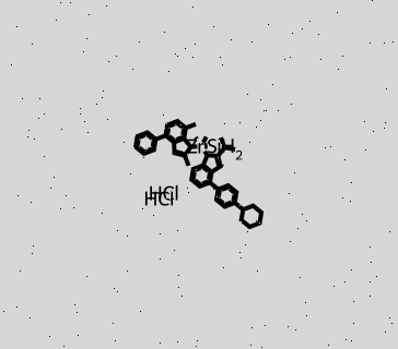 CC1=Cc2c(-c3ccccc3)ccc(C)c2[CH]1[Zr]([CH3])([CH3])(=[SiH2])[CH]1C(C(C)C)=Cc2c(-c3ccc(C4CCCCC4)cc3)cccc21.Cl.Cl